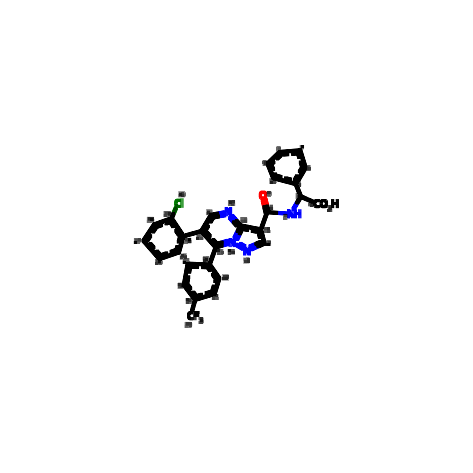 O=C(NC(C(=O)O)c1ccccc1)c1cnn2c(-c3ccc(C(F)(F)F)cc3)c(-c3ccccc3Cl)cnc12